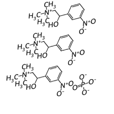 C[N+](C)(C)CC(O)c1cccc([N+](=O)[O-])c1.C[N+](C)(C)CC(O)c1cccc([N+](=O)[O-])c1.C[N+](C)(C)CC(O)c1cccc([N+](=O)[O-])c1.O=P([O-])([O-])[O-]